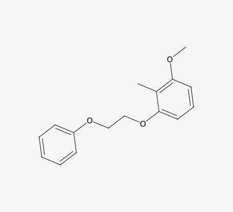 COc1cccc(OCCOc2ccccc2)c1C